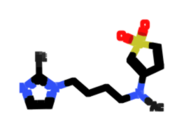 CCc1nccn1CCCCN(C(C)=O)C1=CS(=O)(=O)C=C1